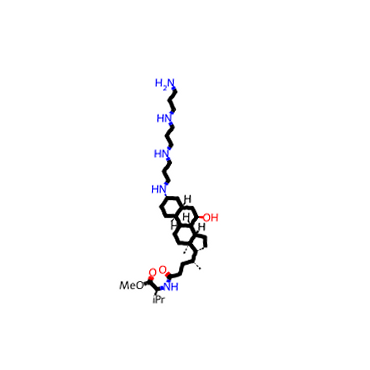 COC(=O)[C@@H](NC(=O)CC[C@@H](C)[C@H]1CC[C@H]2[C@@H]3[C@H](O)C[C@@H]4C[C@@H](NCCCNCCCNCCCN)CC[C@]4(C)[C@H]3CC[C@]12C)C(C)C